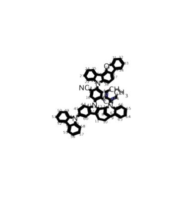 C/C=C\C(=C/C)N1C2=C=C(CCc3c2n(-c2cc(C#N)c(-n4c5ccccc5c5c6oc7ccccc7c6ccc54)cc2C#N)c2ccc(-n4c5ccccc5c5ccccc54)cc32)c2ccccc21